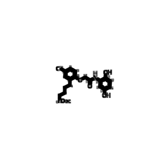 CCCCCCCCCCCCCCc1cc(Cl)ccc1OCC(=O)Nc1cc(O)ccc1O